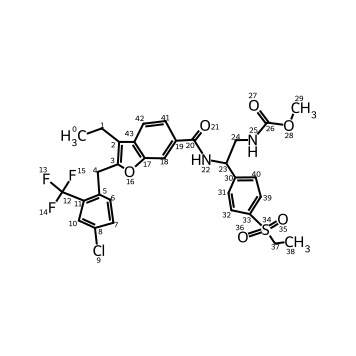 CCc1c(Cc2ccc(Cl)cc2C(F)(F)F)oc2cc(C(=O)NC(CNC(=O)OC)c3ccc(S(=O)(=O)CC)cc3)ccc12